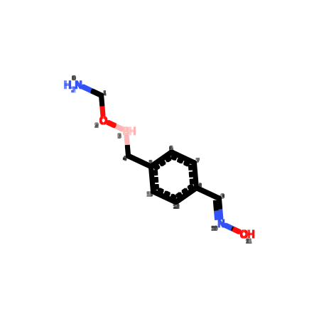 NCOBCc1ccc(/C=N/O)cc1